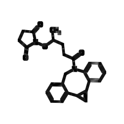 CC(CCC(=O)N1Cc2ccccc2C2C=C2c2ccccc21)ON1C(=O)CCC1=O